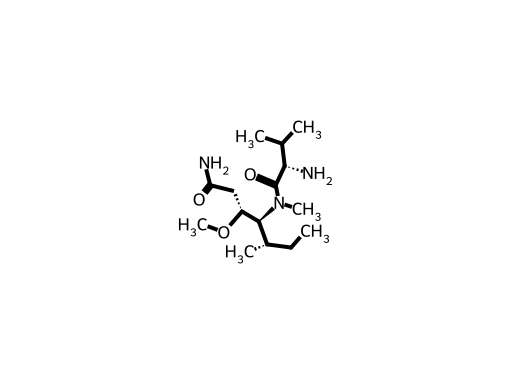 CC[C@H](C)[C@@H]([C@@H](CC(N)=O)OC)N(C)C(=O)[C@@H](N)C(C)C